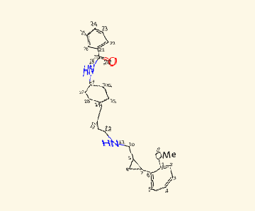 COc1ccccc1C1CC1CNCCC1CCC(NC(=O)c2ccccc2)CC1